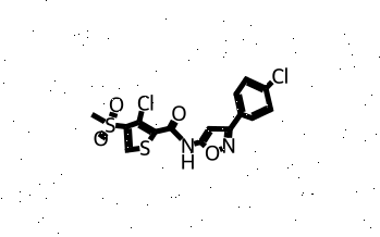 CS(=O)(=O)c1csc(C(=O)Nc2cc(-c3ccc(Cl)cc3)no2)c1Cl